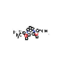 CCCc1ccc(N(c2ccc3ccc4ccc(N(c5ccc(C(C)C)cc5)c5cccc6c5oc5ccccc56)c5ccc2c3c45)c2cccc3c2oc2ccccc23)cc1